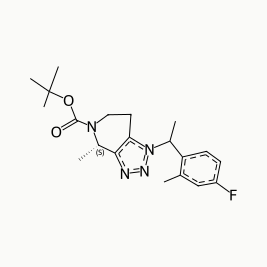 Cc1cc(F)ccc1C(C)n1nnc2c1CCN(C(=O)OC(C)(C)C)[C@H]2C